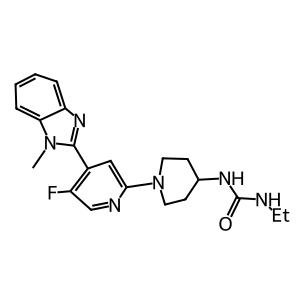 CCNC(=O)NC1CCN(c2cc(-c3nc4ccccc4n3C)c(F)cn2)CC1